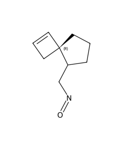 O=NCC1CCC[C@@]12C=CC2